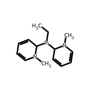 C[CH2][In]([CH]1C=CC=CN1C)[CH]1C=CC=CN1C